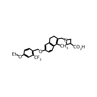 CCOc1ccc(COc2ccc3c(c2)CCC(CN2CC(C(=O)O)C2)=C3C)c(C(F)(F)F)c1